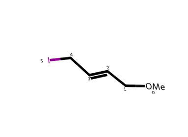 COCC=CCI